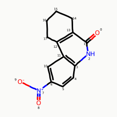 O=c1[nH]c2ccc([N+](=O)[O-])cc2c2c1CCCC2